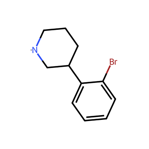 Brc1ccccc1C1CCC[N]C1